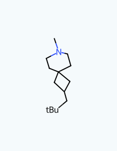 CN1CCC2(CC1)CC(CC(C)(C)C)C2